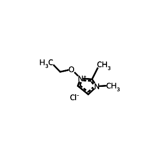 CCO[n+]1ccn(C)c1C.[Cl-]